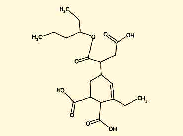 CCCC(CC)OC(=O)C(CC(=O)O)C1C=C(CC)C(C(=O)O)C(C(=O)O)C1